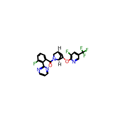 O=C(c1cccc(F)c1-c1ncccn1)N1C[C@H]2C[C@@H](Oc3ncc(C(F)(F)F)cc3F)[C@@H]1C2